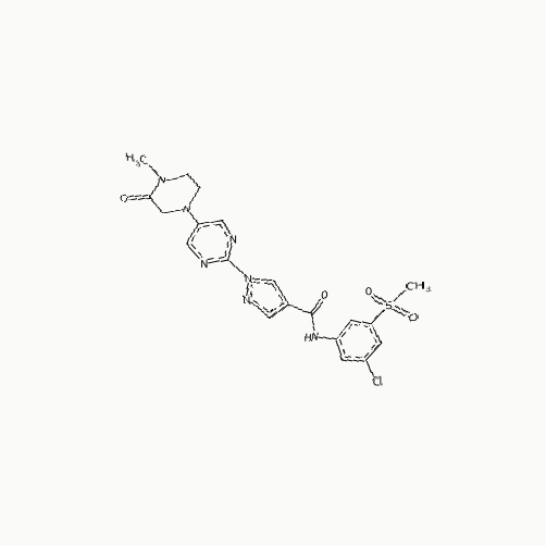 CN1CCN(c2cnc(-n3cc(C(=O)Nc4cc(Cl)cc(S(C)(=O)=O)c4)cn3)nc2)CC1=O